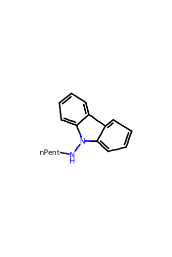 CCCCCNn1c2ccccc2c2ccccc21